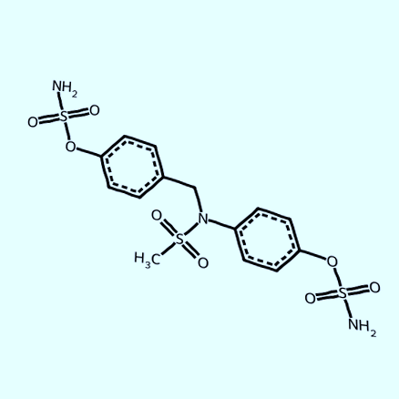 CS(=O)(=O)N(Cc1ccc(OS(N)(=O)=O)cc1)c1ccc(OS(N)(=O)=O)cc1